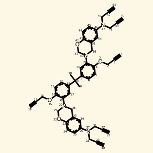 C#CCOc1ccc(C(C)(C)c2ccc(OCC#C)c(N3COc4ccc(N(CC#C)CC#C)cc4C3)c2)cc1N1COc2ccc(N(CC#C)CC#C)cc2C1